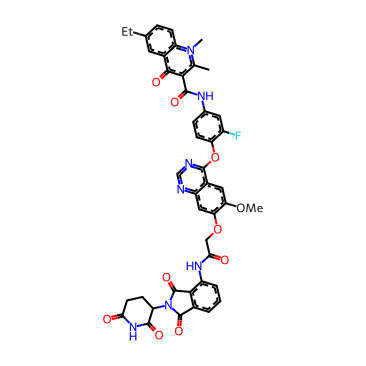 CCc1ccc2c(c1)c(=O)c(C(=O)Nc1ccc(Oc3ncnc4cc(OCC(=O)Nc5cccc6c5C(=O)N(C5CCC(=O)NC5=O)C6=O)c(OC)cc34)c(F)c1)c(C)n2C